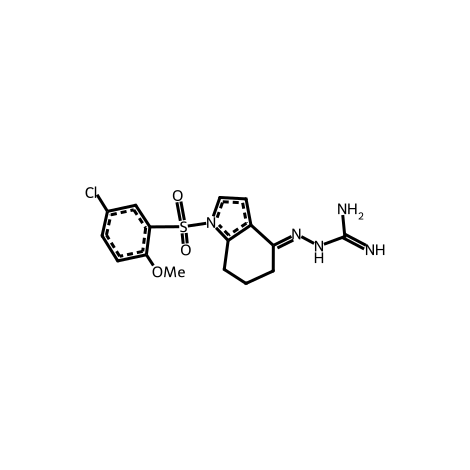 COc1ccc(Cl)cc1S(=O)(=O)n1ccc2c1CCCC2=NNC(=N)N